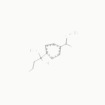 COC(C)c1ccc(C(C)(C)CCCl)cc1